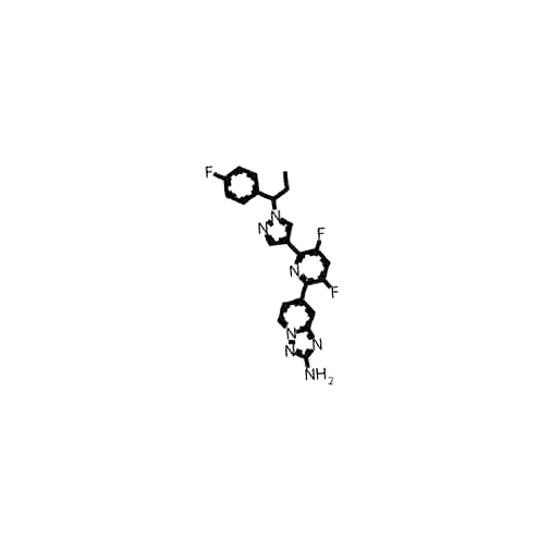 CCC(c1ccc(F)cc1)n1cc(-c2nc(-c3ccn4nc(N)nc4c3)c(F)cc2F)cn1